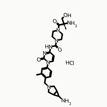 Cc1cc(-n2ccc(NC(=O)N3CCN(C(=O)[C@@](C)(N)CO)CC3)nc2=O)ccc1CN1CC2C(N)C2C1.Cl